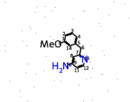 COc1cccc(Cc2cc(N)ccn2)c1